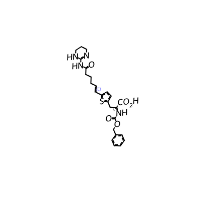 O=C(CCC/C=C/c1ccc(C[C@H](NC(=O)OCc2ccccc2)C(=O)O)s1)NC1=NCCCN1